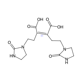 O=C(O)/C(CCN1CCNC1=O)=C(/CCN1CCNC1=O)C(=O)O